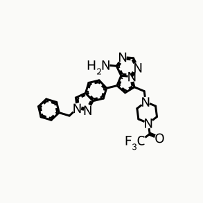 Nc1ncnn2c(CN3CCN(C(=O)C(F)(F)F)CC3)cc(-c3ccc4cn(Cc5ccccc5)nc4c3)c12